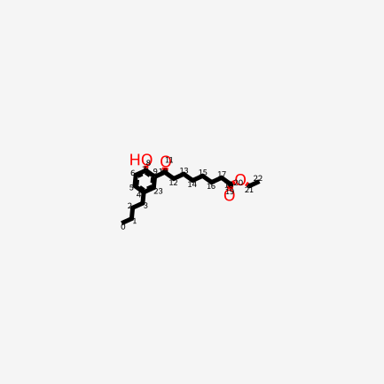 CCCCc1ccc(O)c(C(=O)CCCCCCC(=O)OCC)c1